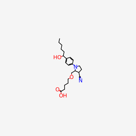 CCCCCC(O)c1ccc(N2CCC(C#N)C2COCCCCC(=O)O)cc1